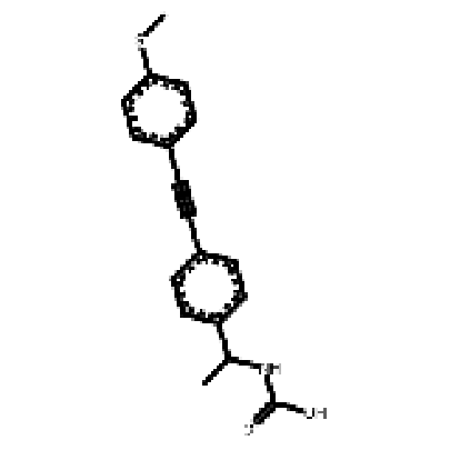 CSc1ccc(C#Cc2ccc(C(C)NC(=O)O)cc2)cc1